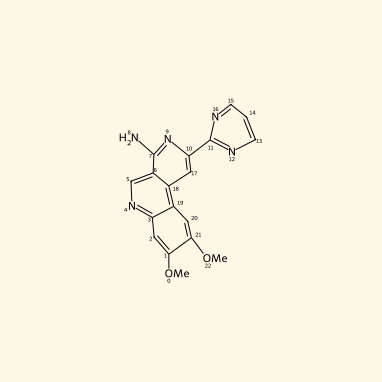 COc1cc2ncc3c(N)nc(-c4ncccn4)cc3c2cc1OC